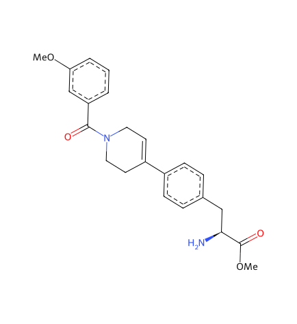 COC(=O)[C@@H](N)Cc1ccc(C2=CCN(C(=O)c3cccc(OC)c3)CC2)cc1